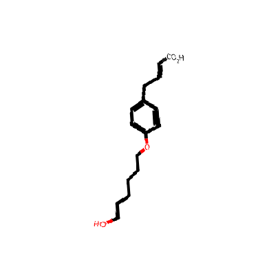 O=C(O)/C=C/Cc1ccc(OCCCCCCO)cc1